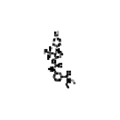 CCN(CC)C(=O)c1cccc(NC(=O)Oc2cnn(-c3ccc(Cl)cc3)c2C(F)(F)F)c1